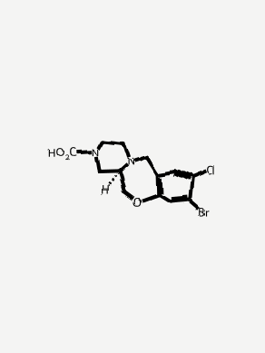 O=C(O)N1CCN2Cc3cc(Cl)c(Br)cc3OC[C@H]2C1